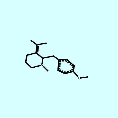 COc1ccc(CC2C(=C(C)C)CCCN2C)cc1